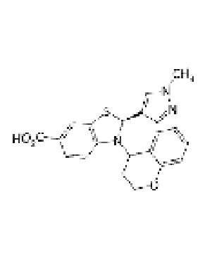 Cn1cc([C@@H]2Sc3cc(C(=O)O)ccc3N2C2CCOc3ccccc32)cn1